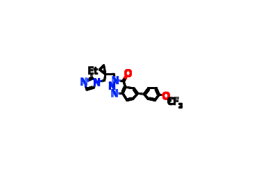 CCc1nccn1CC1(Cn2nnc3ccc(-c4ccc(OC(F)(F)F)cc4)cc3c2=O)CC1